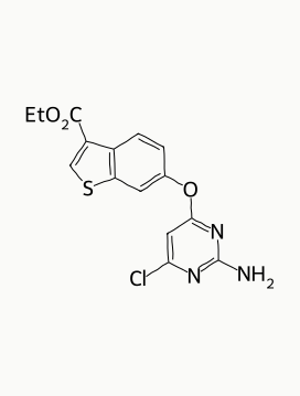 CCOC(=O)c1csc2cc(Oc3cc(Cl)nc(N)n3)ccc12